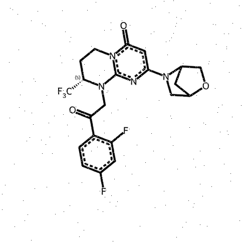 O=C(CN1c2nc(N3CC4CC3CO4)cc(=O)n2CC[C@H]1C(F)(F)F)c1ccc(F)cc1F